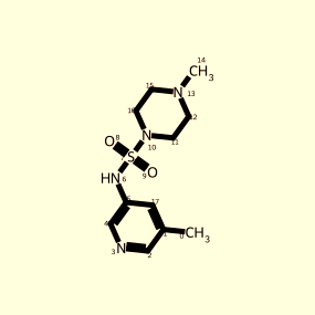 Cc1cncc(NS(=O)(=O)N2CCN(C)CC2)c1